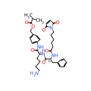 CC(C)C(=O)OCc1ccc(NC(=O)[C@H](CCCCN)NC(=O)[C@H](Cc2ccccc2)NC(=O)CCCCCN2C(=O)C=CC2=O)cc1